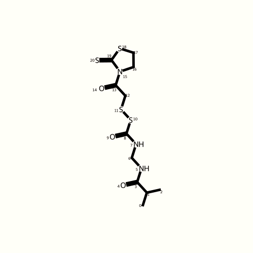 CC(C)C(=O)NCNC(=O)SSCC(=O)N1CCSC1=S